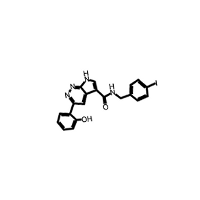 O=C(NCc1ccc(I)cc1)c1c[nH]c2nnc(-c3ccccc3O)cc12